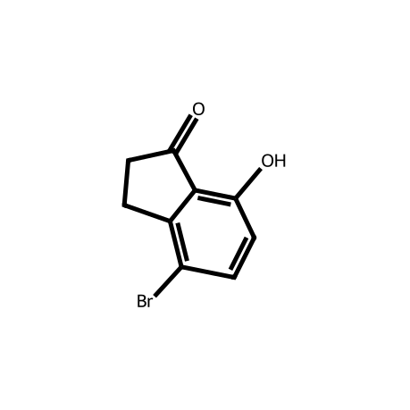 O=C1CCc2c(Br)ccc(O)c21